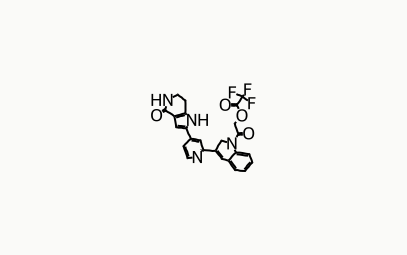 O=C1NCCc2[nH]c(-c3ccnc(C4=Cc5ccccc5N(C(=O)COC(=O)C(F)(F)F)C4)c3)cc21